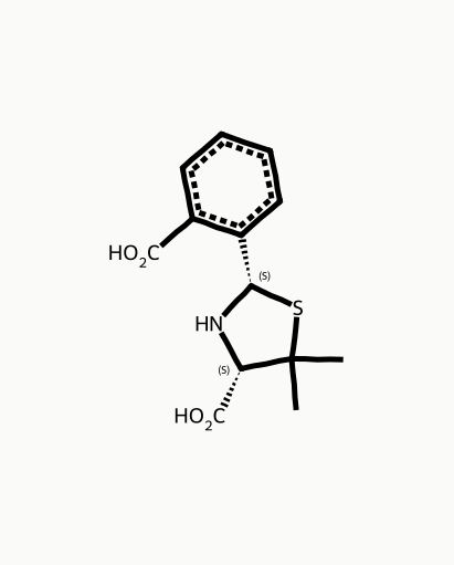 CC1(C)S[C@@H](c2ccccc2C(=O)O)N[C@H]1C(=O)O